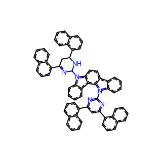 c1ccc2c(C3=NC(n4c5ccccc5c5c6c(ccc54)c4ccccc4n6-c4nc(-c5cccc6ccccc56)cc(-c5cccc6ccccc56)n4)NC(c4cccc5ccccc45)C3)cccc2c1